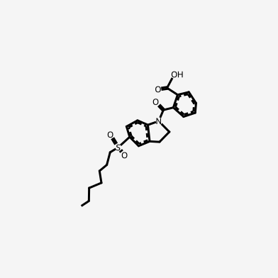 CCCCCCCS(=O)(=O)c1ccc2c(c1)CCN2C(=O)c1ccccc1C(=O)O